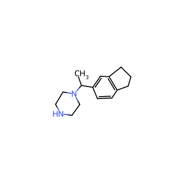 CC(c1ccc2c(c1)CCC2)N1CCNCC1